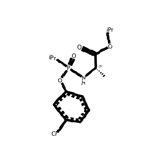 CC(C)OC(=O)[C@H](C)NP(=O)(Oc1cccc(Cl)c1)C(C)C